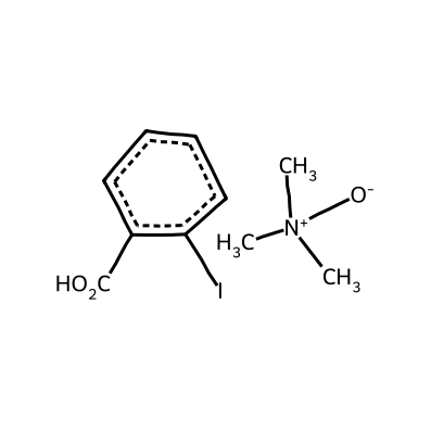 C[N+](C)(C)[O-].O=C(O)c1ccccc1I